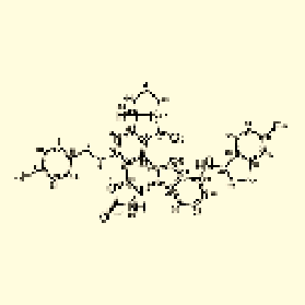 O=C1c2c(nc(CCc3ccc(F)cc3)c(-c3n[nH]c(=O)o3)c2-c2cc3ccnc(N[C@@H]4CCc5cc(F)ccc54)c3s2)[C@@H]2CCCN12